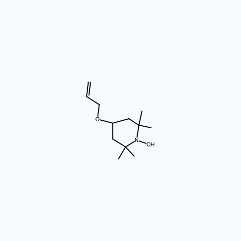 C=CCOC1CC(C)(C)N(O)C(C)(C)C1